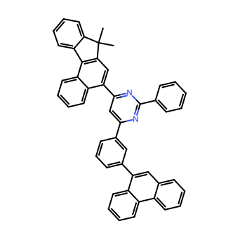 CC1(C)c2ccccc2-c2c1cc(-c1cc(-c3cccc(-c4cc5ccccc5c5ccccc45)c3)nc(-c3ccccc3)n1)c1ccccc21